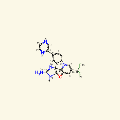 CN1C(=O)C(c2cccc(-c3cnccn3)c2)(c2ccc(C(F)F)cn2)N=C1N